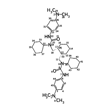 CN(C)c1ccc(NC(=O)N(C[C@H]2CCCC[C@H]2CN(C(=O)Nc2ccc(N(C)C)cc2)C2CCCCC2)C2CCCCC2)cc1